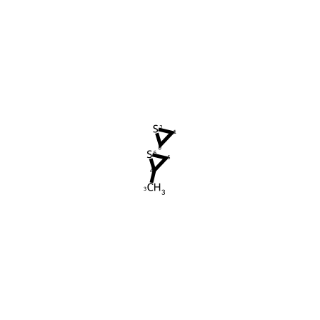 C1CS1.CC1CS1